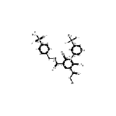 Cc1c(C(=O)CBr)cc(C(=O)NCc2ccc(S(C)(=O)=O)cc2)c(=O)n1-c1cccc(C(F)(F)F)c1